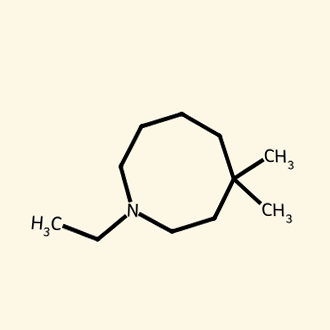 CCN1CCCCC(C)(C)CC1